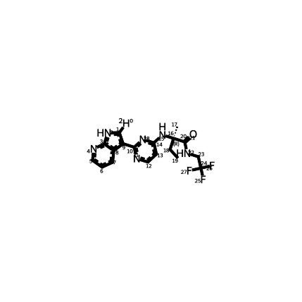 [2H]c1[nH]c2ncccc2c1-c1nccc(N[C@](C)(CC)C(=O)NCC(F)(F)F)n1